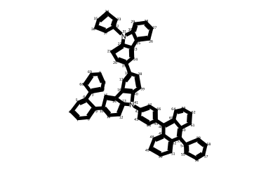 c1ccc(-c2ccccc2-c2ccc3c(c2)c2cc(-c4ccc5c(c4)c4ccccc4n5-c4ccccc4)ccc2n3-c2ccc(-c3c4ccccc4c(-c4ccccc4)c4ccccc34)cc2)cc1